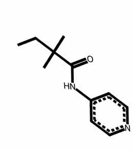 CCC(C)(C)C(=O)Nc1ccncc1